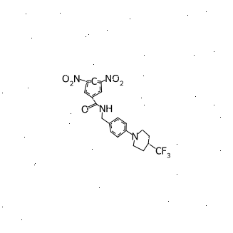 O=C(NCc1ccc(N2CCC(C(F)(F)F)CC2)cc1)c1cc([N+](=O)[O-])cc([N+](=O)[O-])c1